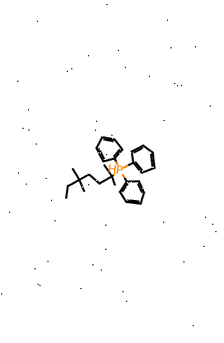 CCC(C)(C)CCC(C)(C)[PH](c1ccccc1)(c1ccccc1)c1ccccc1